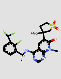 COC1(c2cc3c(N[C@H](C)c4cccc(C(F)F)c4F)ncnc3n(C)c2=O)CCS(=O)(=O)C1